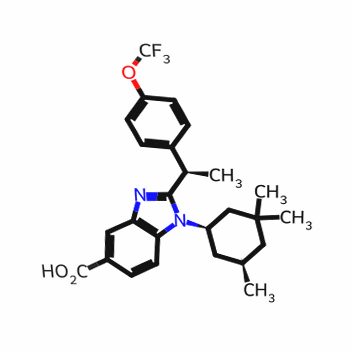 C[C@H]1C[C@@H](n2c([C@H](C)c3ccc(OC(F)(F)F)cc3)nc3cc(C(=O)O)ccc32)CC(C)(C)C1